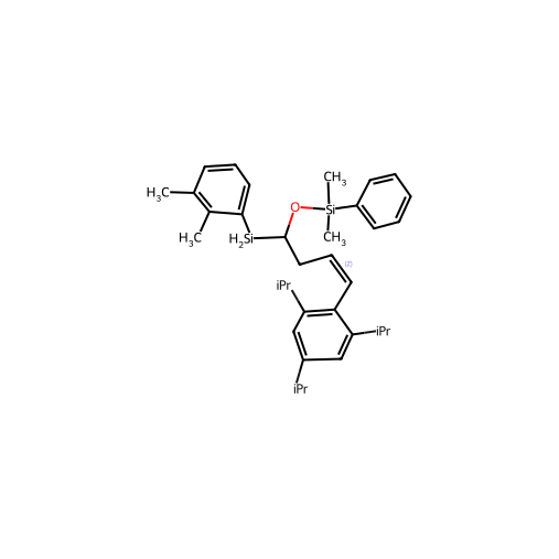 Cc1cccc([SiH2]C(C/C=C\c2c(C(C)C)cc(C(C)C)cc2C(C)C)O[Si](C)(C)c2ccccc2)c1C